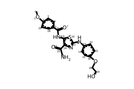 COc1ccc(C(=O)Nc2sc(Nc3ccc(OCCO)cc3)nc2C(N)=O)cc1